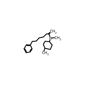 C=C(CCCCCc1ccccc1)N(C)C1CCC(C)CC1